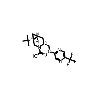 CC(C)(C)[C@]12C[C@H]1C[C@@H](COc1cnc(C(F)(F)F)cn1)N(C(=O)O)C2